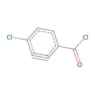 O=C(Cl)c1c#cc(Cl)cc1